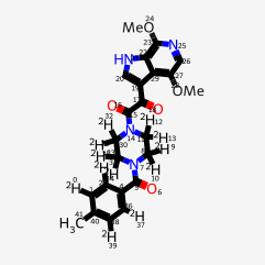 [2H]c1c([2H])c(C(=O)N2C([2H])([2H])C([2H])([2H])N(C(=O)C(=O)c3c[nH]c4c(OC)ncc(OC)c34)C([2H])([2H])C2([2H])[2H])c([2H])c([2H])c1C